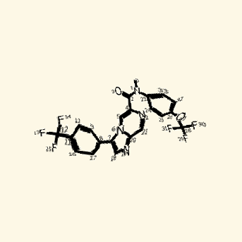 CN(C(=O)c1cn2c(-c3ccc(C(F)(F)F)cc3)cnc2cn1)c1ccc(OC(F)(F)F)cc1